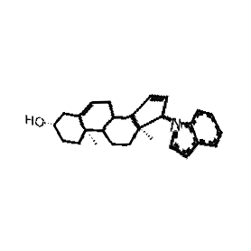 C[C@]12CCC3C(CC=C4C[C@@H](O)CC[C@@]43C)C1C=CC2n1ccc2ccccc21